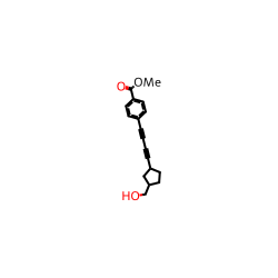 COC(=O)c1ccc(C#CC#CC2CCC(CO)C2)cc1